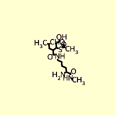 CNC(=O)C(N)CCCCNC(=O)C(CC(C)C)C(CC(=O)O)SC(C)=O